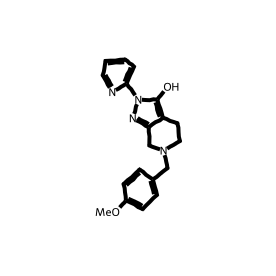 COc1ccc(CN2CCc3c(nn(-c4ccccn4)c3O)C2)cc1